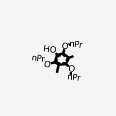 CCCOc1c(C)c(OCCC)c(O)c(OCCC)c1C